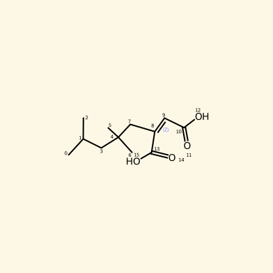 CC(C)CC(C)(C)C/C(=C/C(=O)O)C(=O)O